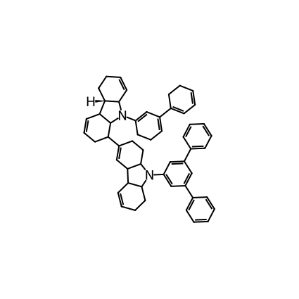 C1=CCCC(C2=CCCC(N3C4C(C5=CC6C7C=CCCC7N(c7cc(-c8ccccc8)cc(-c8ccccc8)c7)C6CC5)CC=CC4[C@@H]4CCC=CC43)=C2)=C1